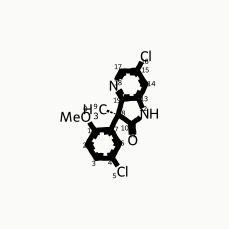 COc1ccc(Cl)cc1[C@]1(C)C(=O)Nc2cc(Cl)cnc21